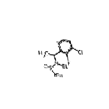 CCN(C(C)c1nccc(Cl)c1F)[S+]([O-])C(C)(C)C